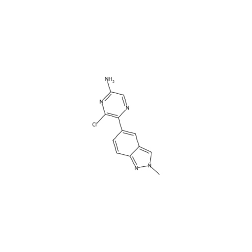 Cn1cc2cc(-c3ncc(N)nc3Cl)ccc2n1